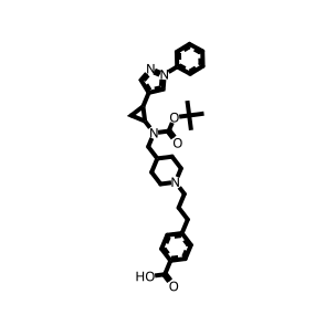 CC(C)(C)OC(=O)N(CC1CCN(CCCc2ccc(C(=O)O)cc2)CC1)C1CC1c1cnn(-c2ccccc2)c1